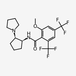 COc1cc(C(F)(F)F)cc(C(F)(F)F)c1C(=O)N[C@H]1CCC[C@H]1N1CCCC1